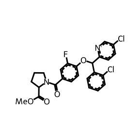 COC(=O)C1CCCN1C(=O)c1ccc(OC(c2ccc(Cl)cn2)c2ccccc2Cl)c(F)c1